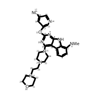 CNc1cccc2c1[nH]c1nc(Oc3cncc(C#N)c3)nc(N3CCN(CCN4CCOCC4)CC3)c12